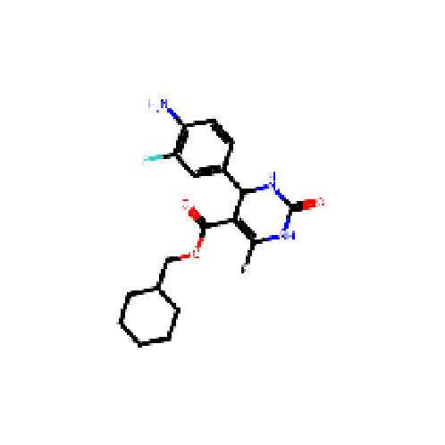 CCC1=C(C(=O)OCC2CCCCC2)C(c2ccc(N)c(F)c2)NC(=O)N1